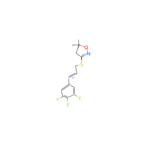 CC1(C)CC(SC/C=C/c2cc(F)c(F)c(F)c2)=NO1